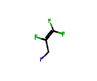 FC(F)=C(F)CI